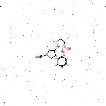 N#CN1CCC(N2NCCS2(O)O)C1.c1ccccc1